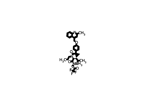 CCCN(C(=O)C1(c2ccc(OCc3cc(C)nc4ccccc34)cc2)CC1)[C@@H](CC(C)C)C(=O)NOC(=O)C(F)(F)F